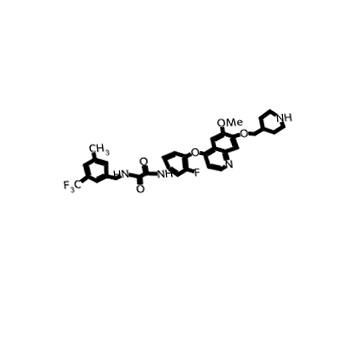 COc1cc2c(Oc3ccc(NC(=O)C(=O)NCc4cc(C)cc(C(F)(F)F)c4)cc3F)ccnc2cc1OCC1CCNCC1